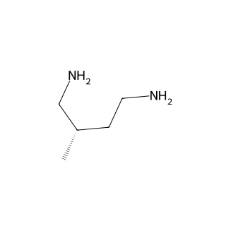 C[C@H](CN)CCN